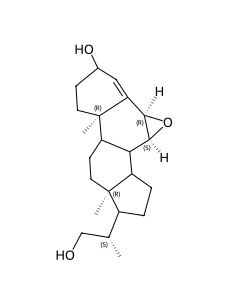 C[C@H](CO)C1CCC2C3C(CC[C@@]21C)[C@@]1(C)CCC(O)C=C1[C@H]1O[C@@H]31